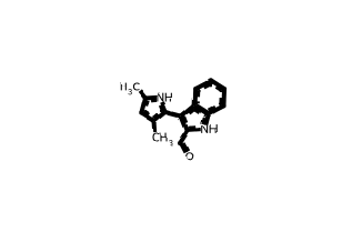 Cc1cc(C)c(-c2c(C=O)[nH]c3ccccc23)[nH]1